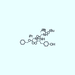 CC(C)C[C@H](NC(=O)OC(C)(C)C)C(=O)N[C@@H](Cc1ccc(O)cc1)C(=O)N[C@H](C(=O)OCc1ccccc1)C(C)C